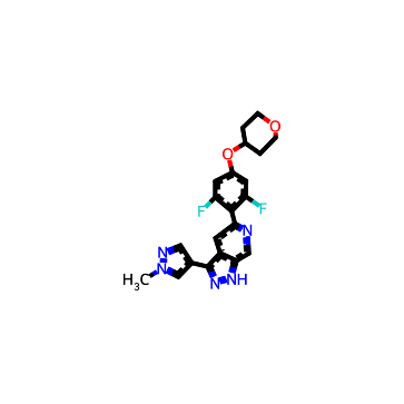 Cn1cc(-c2n[nH]c3cnc(-c4c(F)cc(OC5CCOCC5)cc4F)cc23)cn1